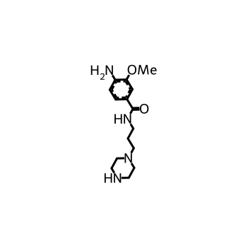 COc1cc(C(=O)NCCCN2CCNCC2)ccc1N